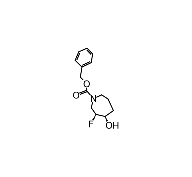 O=C(OCc1ccccc1)N1CCC[C@@H](O)[C@@H](F)C1